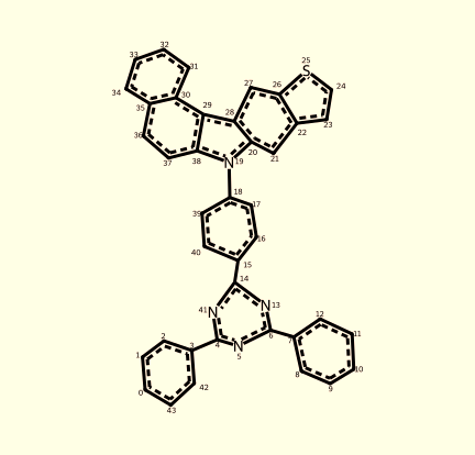 c1ccc(-c2nc(-c3ccccc3)nc(-c3ccc(-n4c5cc6ccsc6cc5c5c6ccccc6ccc54)cc3)n2)cc1